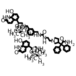 CC(C)(C)[Si](C)(C)OC(CNCc1cccc(CNC(=O)NCCN2CCC(C(C(N)=O)(c3ccccc3)c3ccccc3)C2)c1)c1ccc(O)c2[nH]c(=O)ccc12.CC(C)(C)[Si](C)(C)O[C@@H](CN)c1ccc(O)c2[nH]c(=O)ccc12